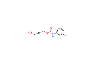 O=C(Nc1cccc(Cl)c1)OCC#CCO